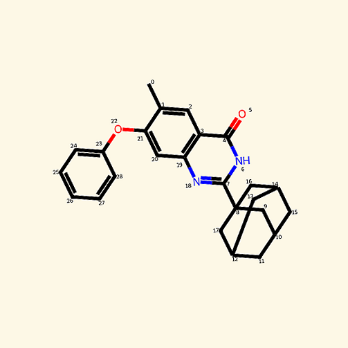 Cc1cc2c(=O)[nH]c(C34CC5CC(CC(C5)C3)C4)nc2cc1Oc1ccccc1